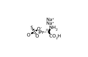 CC(C)[C@H](N)C(=O)O.O=S([O-])([O-])=S.[Na+].[Na+]